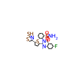 CN1c2ccc(F)cc2C(=O)N(c2ccccc2S(N)(=O)=O)C1c1ccc(-c2csc(S)n2)s1